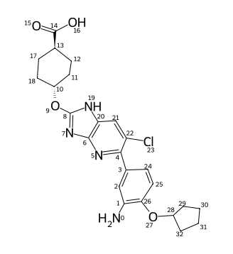 Nc1cc(-c2nc3nc(O[C@H]4CC[C@H](C(=O)O)CC4)[nH]c3cc2Cl)ccc1OC1CCCC1